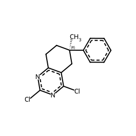 C[C@@]1(c2ccccc2)CCc2nc(Cl)nc(Cl)c2C1